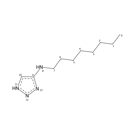 CCCCCCCCNc1c[nH]nn1